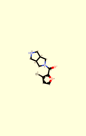 CCc1ccoc1C(=O)N1CC2CNCC2C1